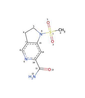 CS(=O)(=O)N1CCc2cnc(C(N)=O)cc21